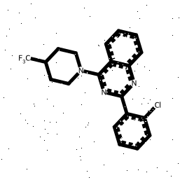 FC(F)(F)C1CCN(c2nc(-c3ccccc3Cl)nc3ccccc23)CC1